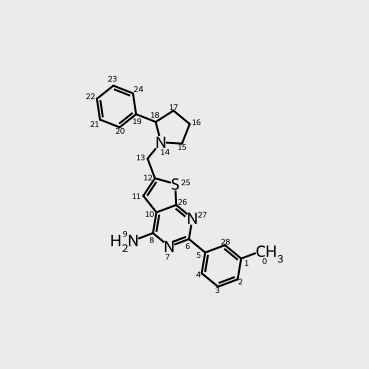 Cc1cccc(-c2nc(N)c3cc(CN4CCCC4c4ccccc4)sc3n2)c1